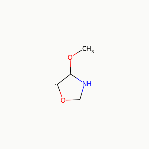 COC1[CH]OCN1